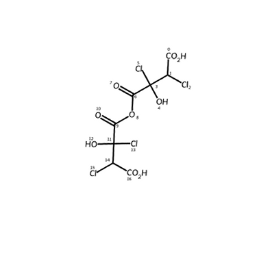 O=C(O)C(Cl)C(O)(Cl)C(=O)OC(=O)C(O)(Cl)C(Cl)C(=O)O